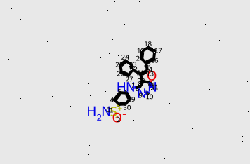 N[S+]([O-])c1ccc(Nc2ncnc3oc(-c4ccccc4)c(-c4ccccc4)c23)cc1